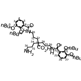 CCCCOc1cccc(C(=O)NCCCC(CCCN)(CCCNC(=O)c2cccc(OCCCC)c2OCCCC)C(=O)O)c1OCCCC